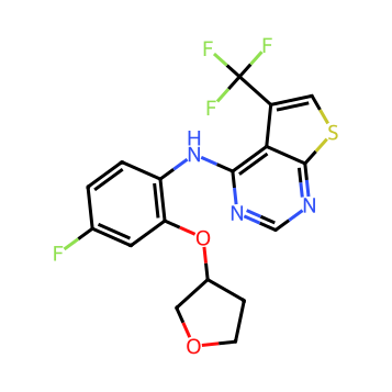 Fc1ccc(Nc2ncnc3scc(C(F)(F)F)c23)c(OC2CCOC2)c1